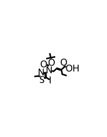 CC/C(=C\CN(C(=O)OC(C)(C)C)c1nc(C)sc1I)C(=O)O